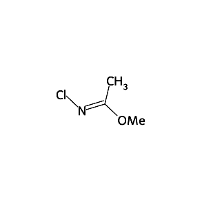 COC(C)=NCl